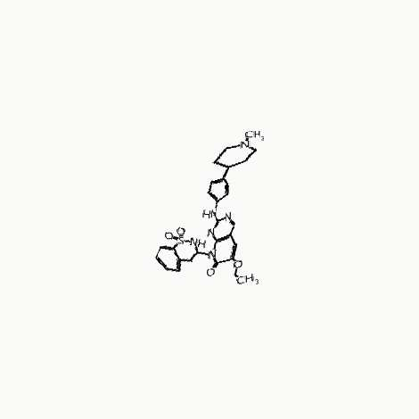 CCOc1cc2cnc(Nc3ccc(C4CCN(C)CC4)cc3)nc2n(C2Cc3ccccc3S(=O)(=O)N2)c1=O